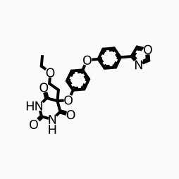 CCOCCC1(Oc2ccc(Oc3ccc(-c4cocn4)cc3)cc2)C(=O)NC(=O)NC1=O